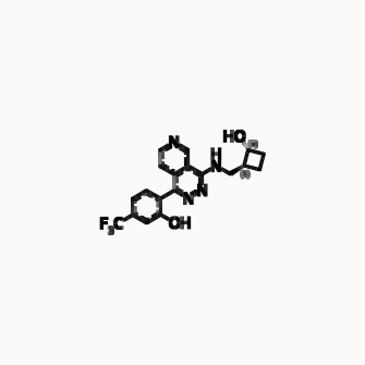 Oc1cc(C(F)(F)F)ccc1-c1nnc(NC[C@@H]2CC[C@H]2O)c2cnccc12